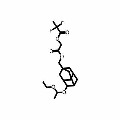 CCOC(C)OC1C2CC3CC1CC(COC(=O)COC(=O)C(C)(F)F)(C3)C2